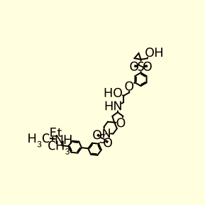 CCC(C)(C)NCc1ccc(-c2cccc(S(=O)(=O)N3CCC4(CC3)CC(NCC(O)COc3cccc(S(=O)(=O)C5(CO)CC5)c3)CO4)c2)cc1